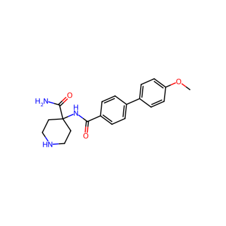 COc1ccc(-c2ccc(C(=O)NC3(C(N)=O)CCNCC3)cc2)cc1